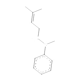 CC(C)=CC[SiH2]N(C)c1ccccc1